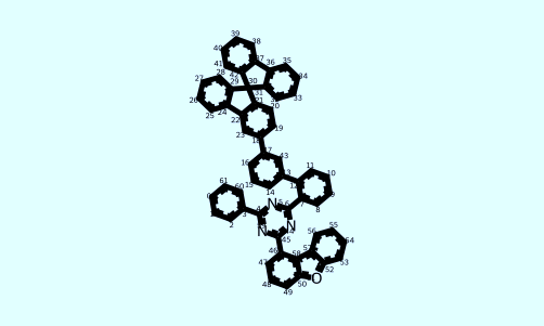 c1ccc(-c2nc(-c3ccccc3-c3cccc(-c4ccc5c(c4)-c4ccccc4C54c5ccccc5-c5ccccc54)c3)nc(-c3cccc4oc5ccccc5c34)n2)cc1